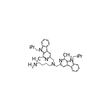 Cc1nc(CN(CCCCN)Cc2cc3c4ccccc4n(CC(C)C)c3c(C)n2)cc2c3ccccc3n(CC(C)C)c12